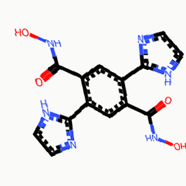 O=C(NO)c1cc(-c2ncc[nH]2)c(C(=O)NO)cc1-c1ncc[nH]1